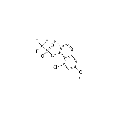 COc1cc(Cl)c2c(OS(=O)(=O)C(F)(F)F)c(F)ccc2c1